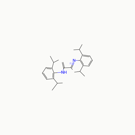 C=C(Nc1c(C(C)C)cccc1C(C)C)/C(C)=N/c1c(C(C)C)cccc1C(C)C